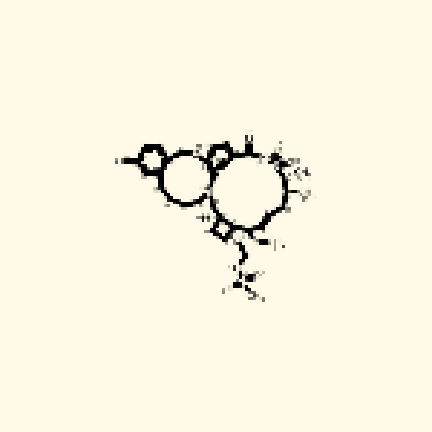 CO[C@]1(CCOS(C)(=O)=O)/C=C/C[C@H](C)[C@@H](C)S(=O)(=O)NC(=O)c2ccc3c(c2)N(CCCCc2cc(Cl)ccc2CO3)C[C@@H]2CC[C@H]21